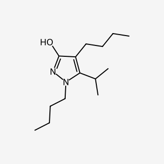 CCCCc1c(O)nn(CCCC)c1C(C)C